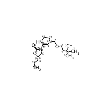 C[Si](C)(C)CCOCN1C=C(N2C[C@@H](CCN)OC2=O)NCC1